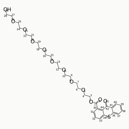 O=C(OCCOCCOCCOCCOCCOCCOCCOCCOCCO)c1cccc2sc3ccccc3c(=O)c12